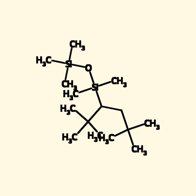 CC(C)(C)CC(C(C)(C)C)[Si](C)(C)O[Si](C)(C)C